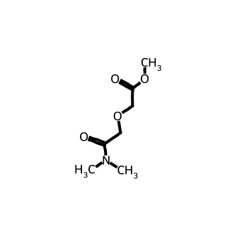 COC(=O)COCC(=O)N(C)C